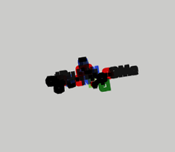 COCOc1cc(Cl)c(C2CC2)c(-c2ncc3c(N4CC5CCC(C4)N5C(=O)OC(C)(C)C)nc(OC[C@@H]4CC[C@@H](CO[Si](c5ccccc5)(c5ccccc5)C(C)(C)C)N4C)nc3c2F)c1